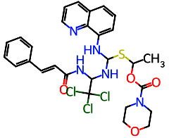 CC(OC(=O)N1CCOCC1)SC(Nc1cccc2cccnc12)NC(NC(=O)/C=C/c1ccccc1)C(Cl)(Cl)Cl